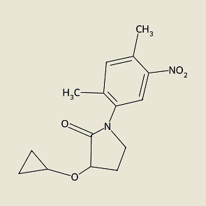 Cc1cc(C)c([N+](=O)[O-])cc1N1CCC(OC2CC2)C1=O